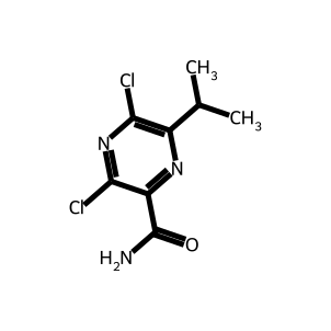 CC(C)c1nc(C(N)=O)c(Cl)nc1Cl